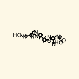 Cc1c(Nc2nccc3cc(C4CN(CCO)C4)cnc23)cccc1-c1cccc(-c2nc3cc(CN4CC[C@@H](C(=O)O)C4)cc(C#N)c3o2)c1C